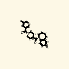 Cc1cncc(C(=O)N2CCC(C(=O)N3CCCCc4cc(Cl)ccc43)CC2)c1